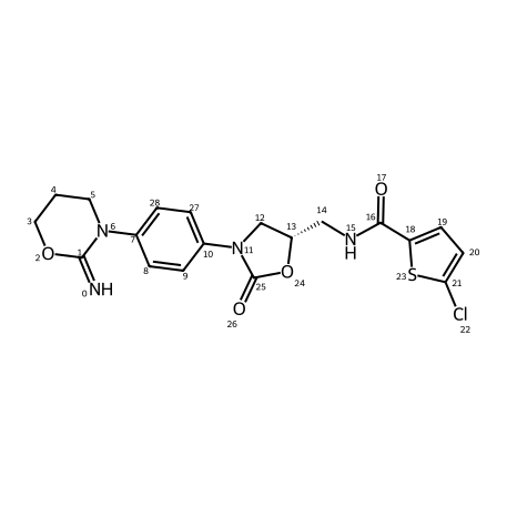 N=C1OCCCN1c1ccc(N2C[C@H](CNC(=O)c3ccc(Cl)s3)OC2=O)cc1